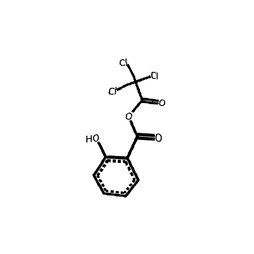 O=C(OC(=O)C(Cl)(Cl)Cl)c1ccccc1O